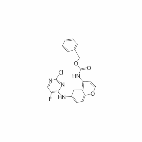 O=C(NC1=C2CC(Nc3nc(Cl)ncc3F)=CC=C2OC=C1)OCc1ccccc1